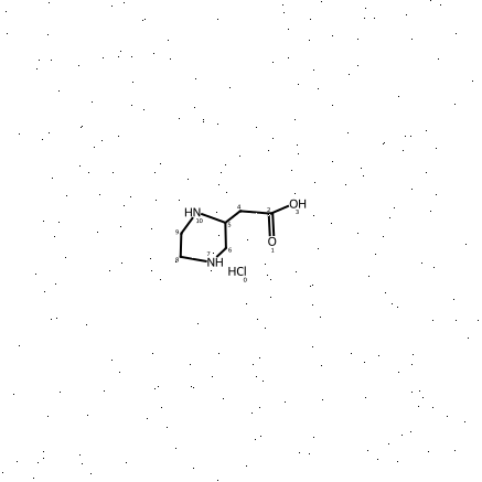 Cl.O=C(O)CC1CNCCN1